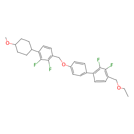 CCOCc1ccc(-c2ccc(OCc3ccc(C4CCC(OC)CC4)c(F)c3F)cc2)c(F)c1F